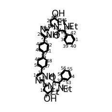 CCN(CC)C(C(=O)N1C[C@@H](O)C[C@H]1c1ncc(-c2ccc(-c3ccc(-c4cnc([C@@H]5C[C@H](O)CN5C(=O)[C@@H](c5ccccc5)N(CC)CC)[nH]4)cc3)cc2)[nH]1)c1ccccc1